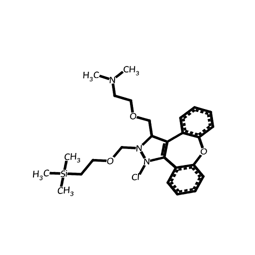 CN(C)CCOCC1C2=C(c3ccccc3Oc3ccccc32)N(Cl)N1COCC[Si](C)(C)C